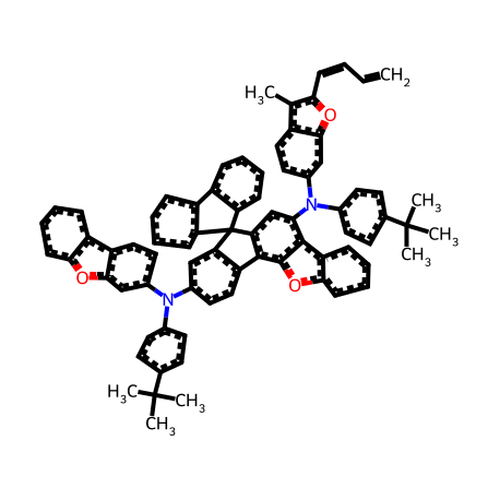 C=C/C=C\c1oc2cc(N(c3ccc(C(C)(C)C)cc3)c3cc4c(c5oc6ccccc6c35)-c3ccc(N(c5ccc(C(C)(C)C)cc5)c5ccc6c(c5)oc5ccccc56)cc3C43c4ccccc4-c4ccccc43)ccc2c1C